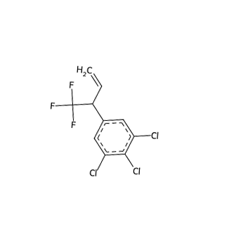 C=CC(c1cc(Cl)c(Cl)c(Cl)c1)C(F)(F)F